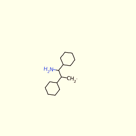 [CH2]C(C1CCCCC1)C(N)C1CCCCC1